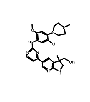 COc1cc(N2CCN(C)CC2)c(Cl)cc1Nc1nccc(-c2cnc3c(c2)C(C)(CO)CN3)n1